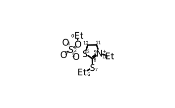 CCOS(=O)(=O)[O-].CCSC1=[N+](CC)CCS1